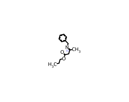 CCCOC(=O)C/C(C)=N/Cc1ccccc1